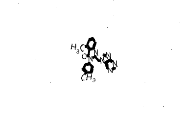 Cc1ccc(-n2c(Cn3cnc4ncncc43)nc3cccc(C)c3c2=O)cc1